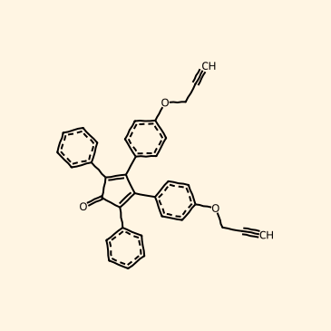 C#CCOc1ccc(C2=C(c3ccccc3)C(=O)C(c3ccccc3)=C2c2ccc(OCC#C)cc2)cc1